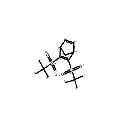 CC(C)(C)S(=O)(=O)C1=C(S(=O)(=O)C(C)(C)C)C2C=CC1C2